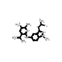 C=C(N)c1cc(C)c(N)nc1Nc1ccc2c(c1)c(CC(C)F)nn2C